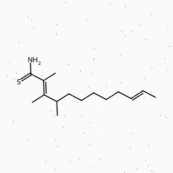 CC=CCCCCCC(C)/C(C)=C(\C)C(N)=S